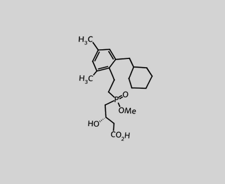 COP(=O)(CCc1c(C)cc(C)cc1CC1CCCCC1)C[C@@H](O)CC(=O)O